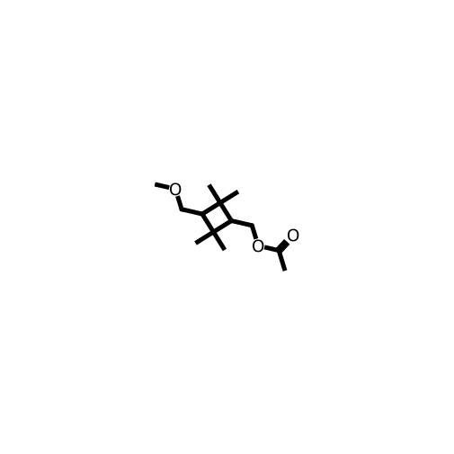 COCC1C(C)(C)C(COC(C)=O)C1(C)C